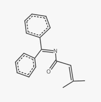 CC(C)=CC(=O)N=C(c1ccccc1)c1ccccc1